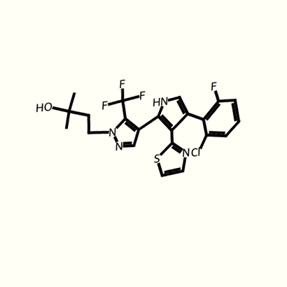 CC(C)(O)CCn1ncc(-c2[nH]cc(-c3c(F)cccc3Cl)c2-c2nccs2)c1C(F)(F)F